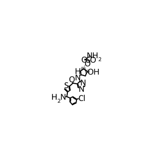 NC(c1cccc(Cl)c1)c1csc(C(=O)c2cncnc2NC2C[C@H](COS(N)(=O)=O)[C@@H](O)C2)c1